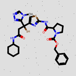 Cn1cnnc1C(S)(CC(=O)NC1CCCCC1)c1csc(NC(=O)C2CCCN2C(=O)OCc2ccccc2)n1